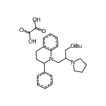 CC(C)COCC(CN1c2ccccc2CCC1c1ccccc1)N1CCCC1.O=C(O)C(=O)O